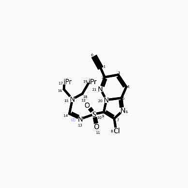 C#Cc1ccc2nc(Cl)c(S(=O)(=O)/N=C\N(CC(C)C)CC(C)C)n2n1